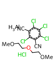 COCCOCCOC.Cl.N#Cc1c(Cl)c(Cl)c(Cl)c(C#N)c1Cl.[AlH3]